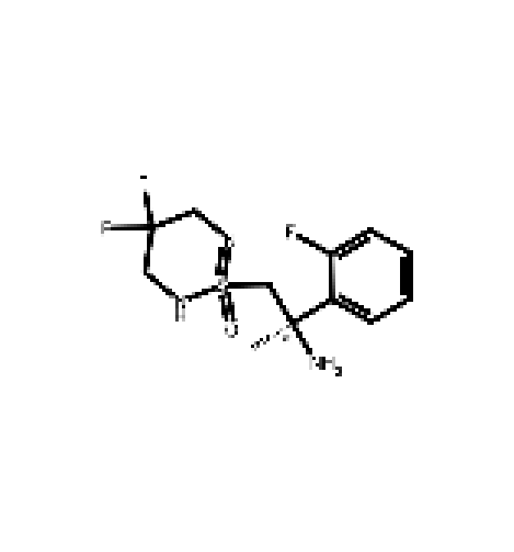 C[C@](N)(CS1(=O)=NCC(F)(F)CN1)c1ccccc1F